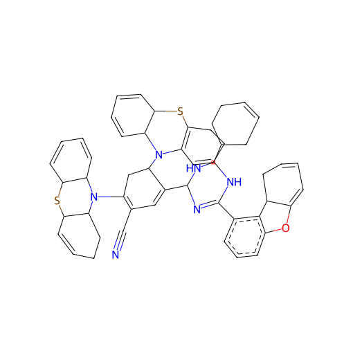 N#CC1=C(N2C3C=CC=CC3SC3C=CCCC32)CC(N2C3=C(CCC=C3)SC3C=CC=CC32)C(C2N=C(c3cccc4c3C3CC=CC=C3O4)NC(C3CC=CCC3)N2)=C1